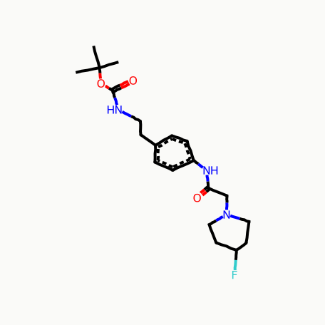 CC(C)(C)OC(=O)NCCc1ccc(NC(=O)CN2CCC(F)CC2)cc1